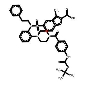 Cc1c(C(=O)O)oc2ccc(S(=O)(=O)N(CCc3ccccc3)c3ccccc3N3CCN(C(=O)c4ccc(NC(=O)OC(C)(C)C)cc4)CC3)cc12